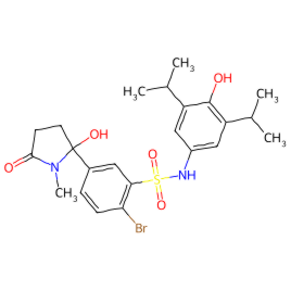 CC(C)c1cc(NS(=O)(=O)c2cc(C3(O)CCC(=O)N3C)ccc2Br)cc(C(C)C)c1O